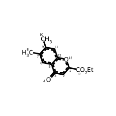 CCOC(=O)c1cc(=O)c2cc(C)c(C)cc2o1